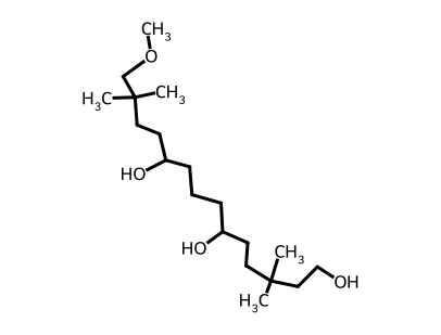 COCC(C)(C)CCC(O)CCCC(O)CCC(C)(C)CCO